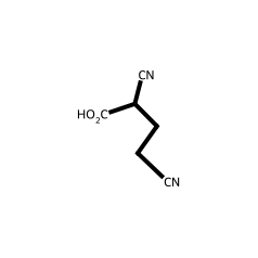 N#CCCC(C#N)C(=O)O